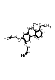 C#CCOc1cc2c(cc1OCC#C)-c1cccc(CC)c1N(C)C2